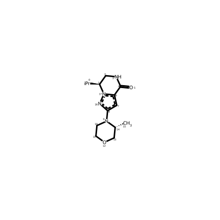 CC(C)[C@H]1CNC(=O)c2cc(N3CCOC[C@H]3C)nn21